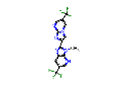 Cn1c(-c2cn3cc(C(F)(F)F)cnc3n2)nc2cc(C(F)(F)F)cnc21